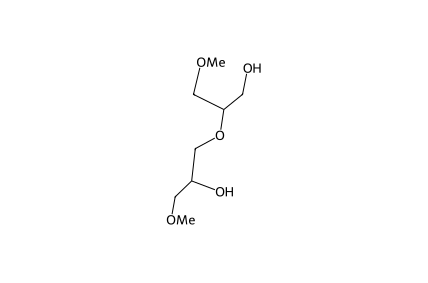 COCC(O)COC(CO)COC